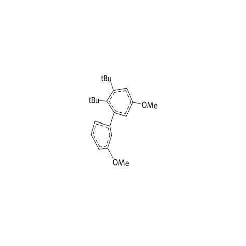 COc1cccc(-c2cc(OC)cc(C(C)(C)C)c2C(C)(C)C)c1